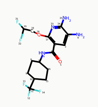 Nc1cc(C(=O)NC2CCC(C(F)(F)F)CC2)c(OCC(F)F)nc1N